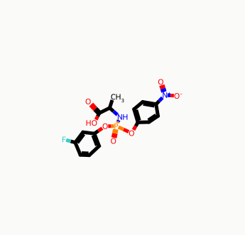 CC(NP(=O)(Oc1ccc([N+](=O)[O-])cc1)Oc1cccc(F)c1)C(=O)O